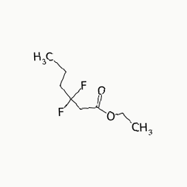 CCCC(F)(F)CC(=O)OCC